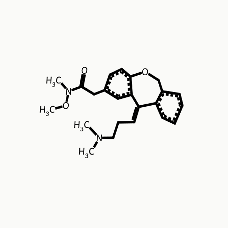 CON(C)C(=O)Cc1ccc2c(c1)C(=CCCN(C)C)c1ccccc1CO2